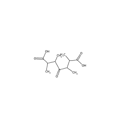 CC(C(=O)O)C(C)C(=O)C(C)C(C)C(=O)O